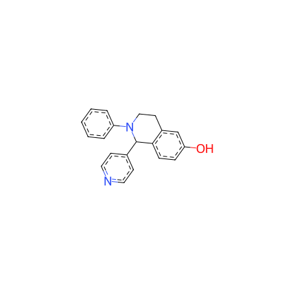 Oc1ccc2c(c1)CCN(c1ccccc1)C2c1ccncc1